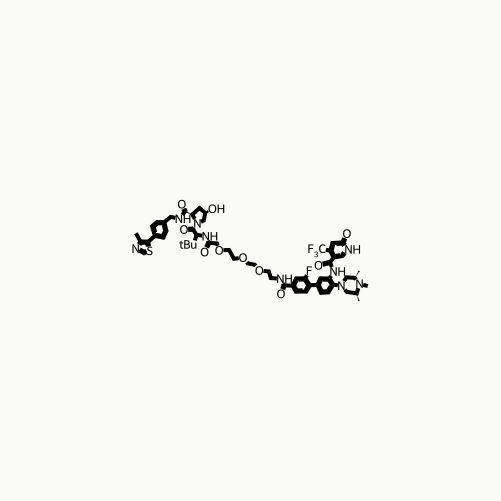 Cc1ncsc1-c1ccc(CNC(=O)[C@@H]2C[C@@H](O)CN2C(=O)C(NC(=O)COCCOCCOCCNC(=O)c2ccc(-c3ccc(N4C[C@@H](C)N(C)[C@@H](C)C4)c(NC(=O)c4c[nH]c(=O)cc4C(F)(F)F)c3)c(F)c2)C(C)(C)C)cc1